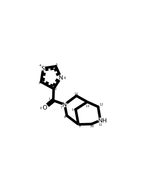 O=C(c1cscn1)N1CC2CNCC(C2)C1